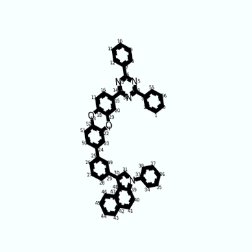 c1ccc(-c2nc(-c3ccccc3)nc(-c3ccc4c(c3)Oc3cc(-c5cccc(-c6cn(-c7ccccc7)c7ccc8ccccc8c67)c5)ccc3O4)n2)cc1